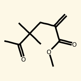 C=C(CC(C)(C)C(C)=O)C(=O)OC